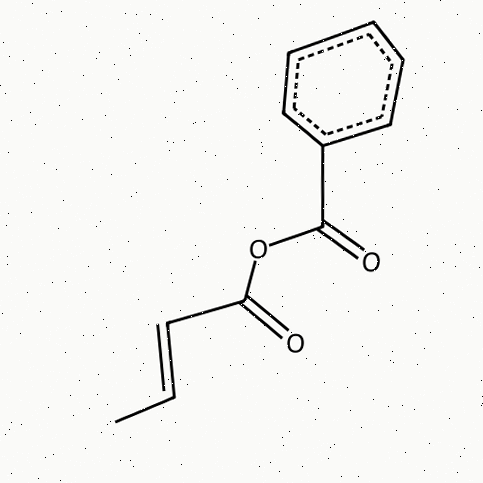 C/C=C/C(=O)OC(=O)c1ccccc1